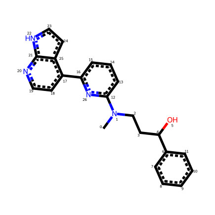 CN(CCC(O)c1ccccc1)c1cccc(-c2ccnc3[nH]ccc23)n1